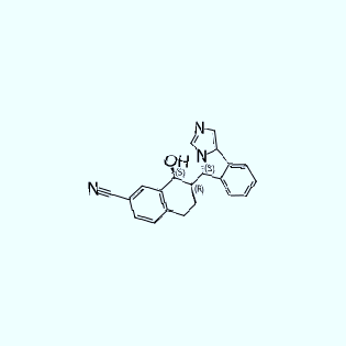 N#Cc1ccc2c(c1)[C@@H](O)[C@@H]([C@H]1c3ccccc3-c3cncn31)CC2